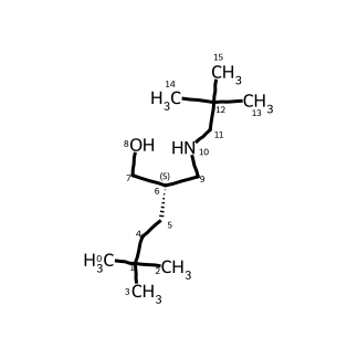 CC(C)(C)CC[C@H](CO)CNCC(C)(C)C